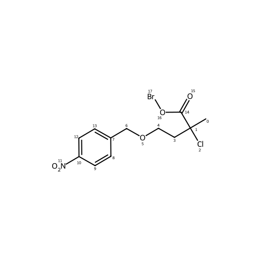 CC(Cl)(CCOCc1ccc([N+](=O)[O-])cc1)C(=O)OBr